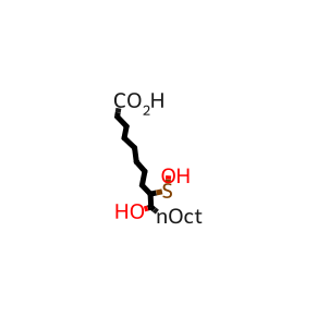 CCCCCCCCC(O)C(CCCCCCCC(=O)O)SO